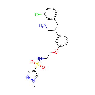 Cn1cc(S(=O)(=O)NCCOc2cccc(C(CN)Cc3cccc(Cl)c3)c2)cn1